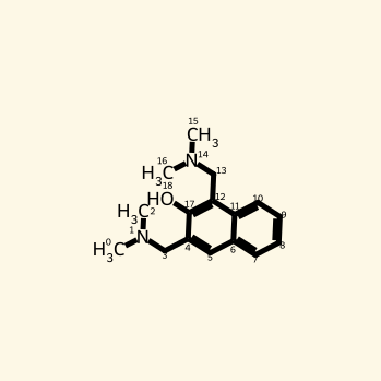 CN(C)Cc1cc2ccccc2c(CN(C)C)c1O